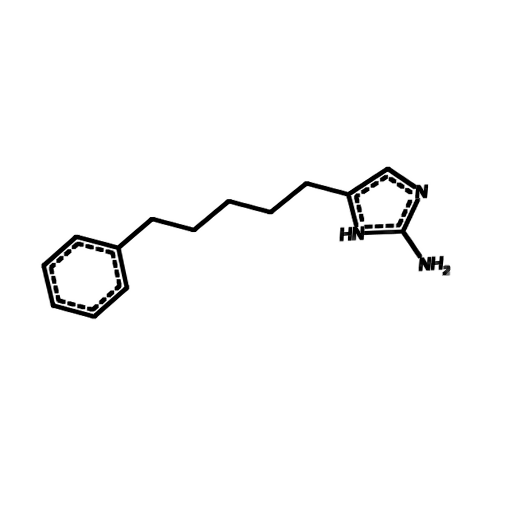 Nc1ncc(CCCCCc2ccccc2)[nH]1